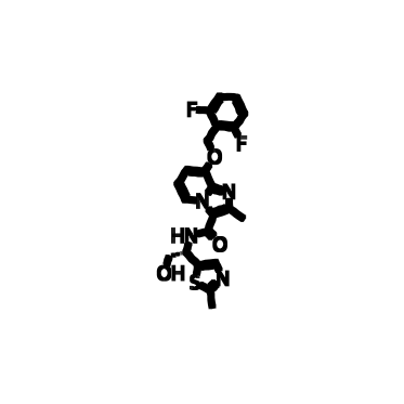 Cc1ncc([C@H](CO)NC(=O)c2c(C)nc3c(OCc4c(F)cccc4F)cccn23)s1